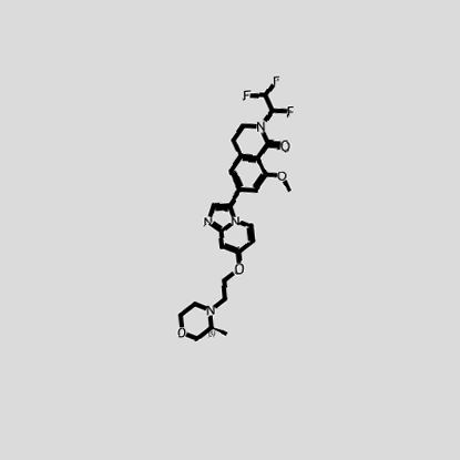 COc1cc(-c2cnc3cc(OCCN4CCOC[C@@H]4C)ccn23)cc2c1C(=O)N(C(F)C(F)F)CC2